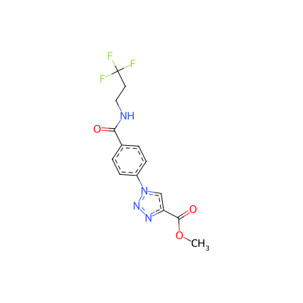 COC(=O)c1cn(-c2ccc(C(=O)NCCC(F)(F)F)cc2)nn1